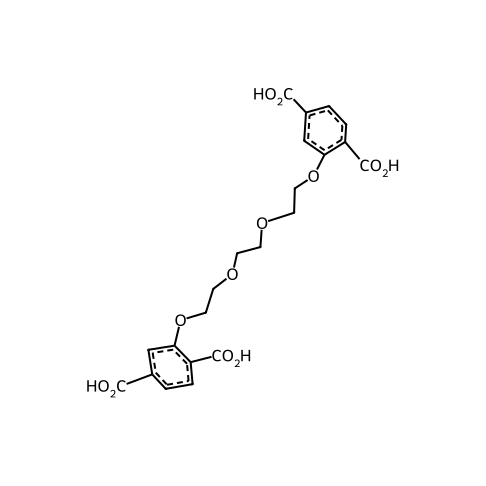 O=C(O)c1ccc(C(=O)O)c(OCCOCCOCCOc2cc(C(=O)O)ccc2C(=O)O)c1